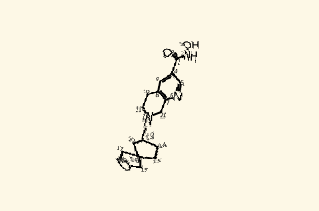 O=C(NO)c1cnc2c(c1)CCN(C1CCC3(COC3)C1)C2